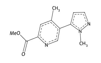 COC(=O)c1cc(C)c(-c2ccnn2C)cn1